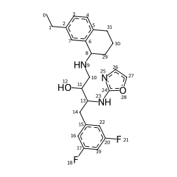 CCc1ccc2c(c1)C(NCC(O)C(Cc1cc(F)cc(F)c1)Nc1ncco1)CCC2